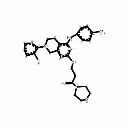 O=C(CCOc1nc2c(c(Nc3ccc(C(F)(F)F)cc3)n1)CCN(c1ncccc1Cl)C2)N1CCOCC1